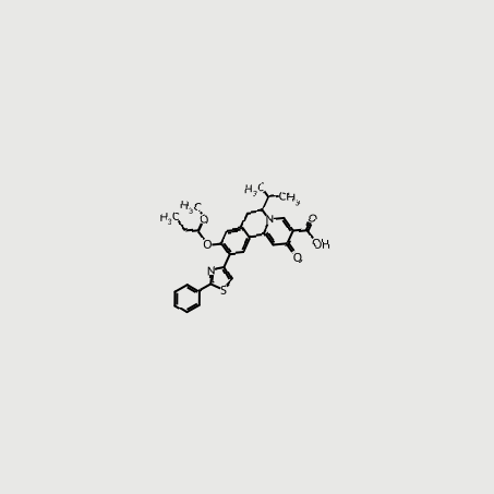 CCC(OC)Oc1cc2c(cc1-c1csc(-c3ccccc3)n1)-c1cc(=O)c(C(=O)O)cn1C(C(C)C)C2